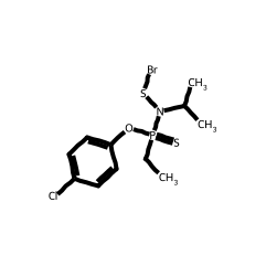 CCP(=S)(Oc1ccc(Cl)cc1)N(SBr)C(C)C